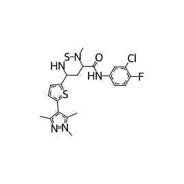 Cc1nn(C)c(C)c1-c1ccc(C2CC(C(=O)Nc3ccc(F)c(Cl)c3)N(C)SN2)s1